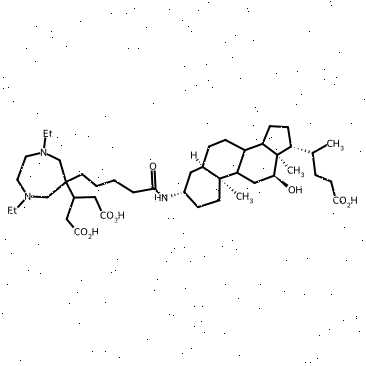 CCN1CCN(CC)CC(CCCCC(=O)N[C@H]2CC[C@]3(C)C4C[C@H](O)[C@@]5(C)C(CC[C@@H]5C(C)CCC(=O)O)C4CC[C@@H]3C2)(C(CC(=O)O)CC(=O)O)C1